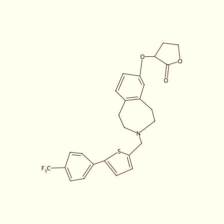 O=C1OCCC1Oc1ccc2c(c1)CCN(Cc1ccc(-c3ccc(C(F)(F)F)cc3)s1)CC2